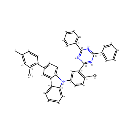 Cc1ccc(-c2ccc3c(c2)c2ccccc2n3-c2ccc(C#N)c(-c3nc(-c4ccccc4)nc(-c4ccccc4)n3)c2)c(C(F)(F)F)c1